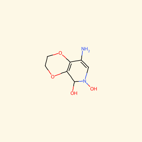 NC1=CN(O)C(O)C2=C1OCCO2